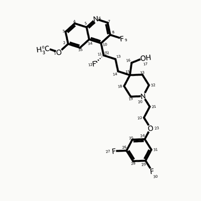 COc1ccc2ncc(F)c([C@@H](F)CCC3(CO)CCN(CCOc4cc(F)cc(F)c4)CC3)c2c1